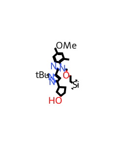 COCc1cc(C)c2c(c1)nc(-c1cc(C3CCC(O)C3)nn1C(C)(C)C)n2COCC[Si](C)(C)C